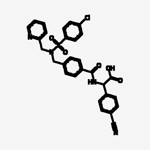 N#Cc1ccc(C(NC(=O)c2ccc(CN(Cc3ccccn3)S(=O)(=O)c3ccc(Cl)cc3)cc2)C(=O)O)cc1